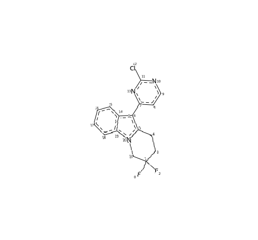 FC1(F)CCc2c(-c3ccnc(Cl)n3)c3ccccc3n2C1